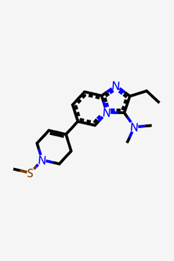 CCc1nc2ccc(C3=CCN(SC)CC3)cn2c1N(C)C